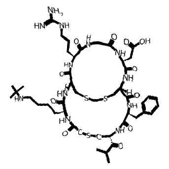 CC(C)C(=O)[C@@H]1CSCC(=O)N[C@@H](CCCCNC(C)(C)C)C(=O)N[C@H]2CSCSC[C@H](NC(=O)[C@H](CC(=O)O)NC(=O)CNC(=O)[C@H](CCCNC(=N)N)NC2=O)C(=O)N[C@@H](Cc2ccccc2)C(=O)N1